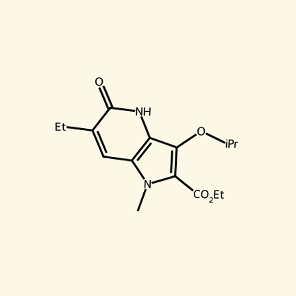 CCOC(=O)c1c(OC(C)C)c2[nH]c(=O)c(CC)cc2n1C